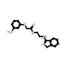 Cc1cccc(OCC(=O)OCCNC2=NCc3ccccc32)c1